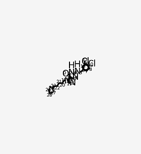 O=c1[nH]c(NCc2ccc(Cl)c(Cl)c2)nc2ncn(CCCCCN3CCC3)c12